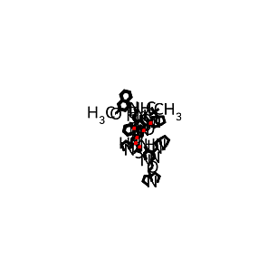 COc1cc(Nc2nc3c(N4CC5CCC(C(C)(C)C)(C4)N5C(=O)Oc4cc(Nc5nc6c(N7CC8CCC(C7)N8)nc(OCC78CCCN7CCC8)nc6s5)c5ccccc5c4)nc(OCC45CCCN4CCC5)nc3s2)c2ccccc2c1